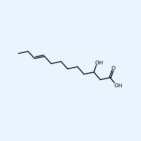 CCC=CCCCCCC(O)CC(=O)O